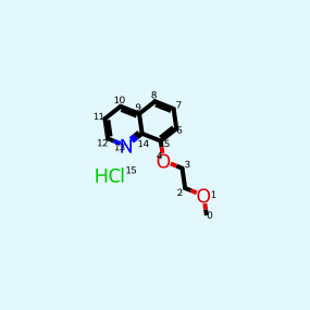 COCCOc1cccc2cccnc12.Cl